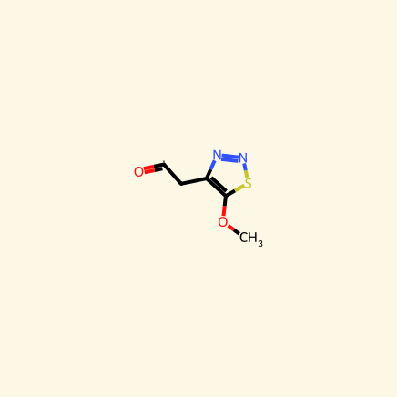 COc1snnc1C[C]=O